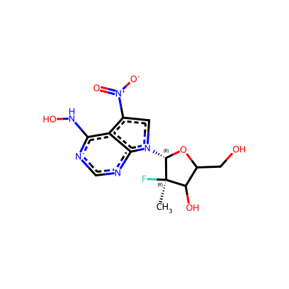 C[C@@]1(F)C(O)C(CO)O[C@H]1n1cc([N+](=O)[O-])c2c(NO)ncnc21